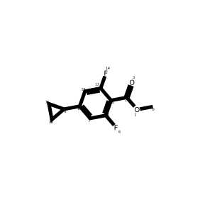 COC(=O)c1c(F)cc(C2CC2)cc1F